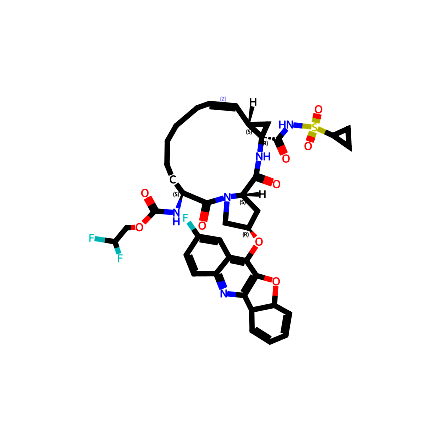 O=C(N[C@H]1CCCCC/C=C\[C@@H]2C[C@@]2(C(=O)NS(=O)(=O)C2CC2)NC(=O)[C@@H]2C[C@@H](Oc3c4c(nc5ccc(F)cc35)C3C=CC=CC3O4)CN2C1=O)OCC(F)F